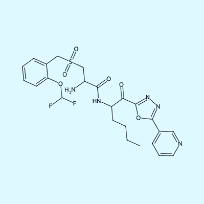 CCCCC(NC(=O)C(N)CS(=O)(=O)Cc1ccccc1OC(F)F)C(=O)c1nnc(-c2cccnc2)o1